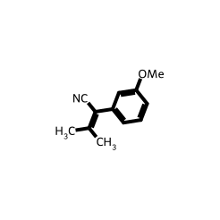 COc1cccc(C(C#N)=C(C)C)c1